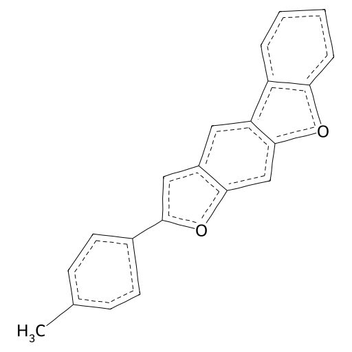 Cc1ccc(-c2cc3cc4c(cc3o2)oc2ccccc24)cc1